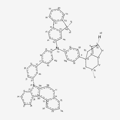 C[C@H]1CC2C[C@@H]3C=C2C(c2ccc(N(c4ccc(-c5cccc(-n6c7ccccc7c7c8ccccc8ccc76)c5)cc4)c4ccc5c(c4)C(C)(C)c4ccccc4-5)cc2)(C1)C3